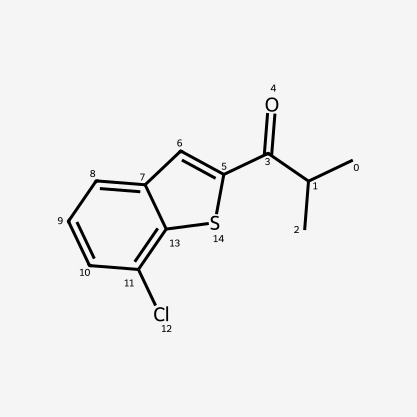 CC(C)C(=O)c1cc2cccc(Cl)c2s1